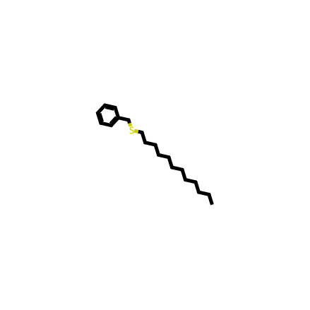 CCCCCCCCCCCCSCc1ccccc1